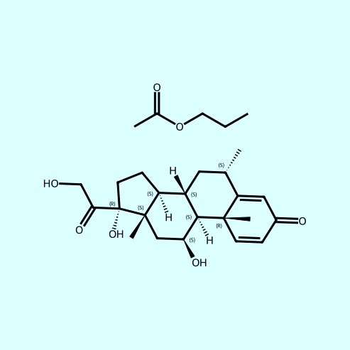 CCCOC(C)=O.C[C@H]1C[C@@H]2[C@H]([C@@H](O)C[C@@]3(C)[C@H]2CC[C@]3(O)C(=O)CO)[C@@]2(C)C=CC(=O)C=C12